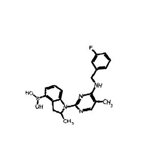 Cc1cnc(N2c3cccc(B(O)O)c3CC2C)nc1NCc1cccc(F)c1